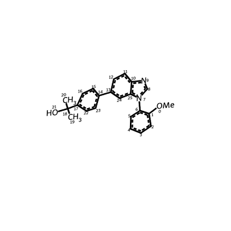 COc1ccccc1-n1cnc2ccc(-c3ccc(C(C)(C)O)cc3)cc21